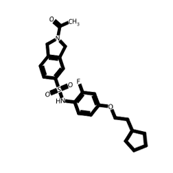 CC(=O)N1Cc2ccc(S(=O)(=O)Nc3ccc(OCCC4CCCC4)cc3F)cc2C1